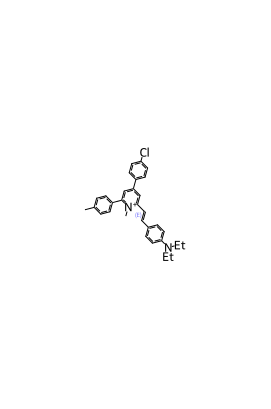 CCN(CC)c1ccc(/C=C/c2cc(-c3ccc(Cl)cc3)cc(-c3ccc(C)cc3)[n+]2C)cc1